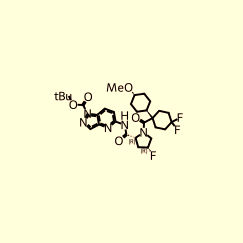 CO[C@H]1CC[C@H](C2(C(=O)N3C[C@H](F)C[C@@H]3C(=O)Nc3ccc4c(cnn4C(=O)OC(C)(C)C)n3)CCC(F)(F)CC2)CC1